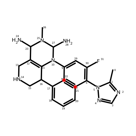 Cc1ncnn1-c1ccc(N2C3=C(CNCC3c3ccccc3)C(N)N(C)C2N)cc1F